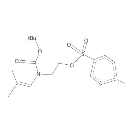 CC(C)=CN(CCOS(=O)(=O)c1ccc(C)cc1)C(=O)OC(C)(C)C